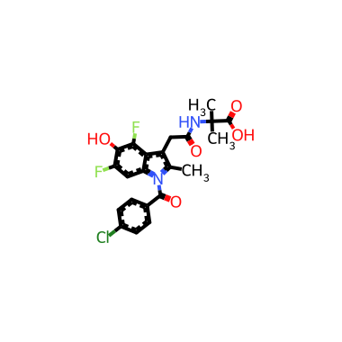 Cc1c(CC(=O)NC(C)(C)C(=O)O)c2c(F)c(O)c(F)cc2n1C(=O)c1ccc(Cl)cc1